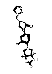 O=C1N[C@@H]2CN(c3ccc(N4C[C@H](Cn5ccnn5)OC4=O)cc3F)C[C@@H]2O1